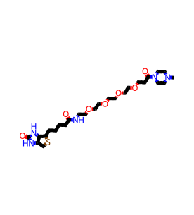 CN1CCN(C(=O)CCOCCOCCOCCOCCNC(=O)CCCCC2SCC3NC(=O)NC32)CC1